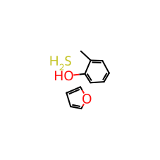 Cc1ccccc1O.S.c1ccoc1